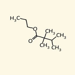 CCCOC(=O)C(C)(C)C(C)C